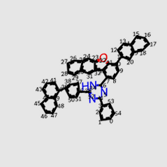 c1ccc(C2=NC(c3ccc(-c4ccc5ccccc5c4)c4oc5cc6ccccc6cc5c34)NC(c3ccc(-c4cccc5ccccc45)cc3)=N2)cc1